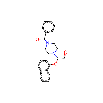 O=CC(Oc1cccc2ccccc12)N1CCN(C(=O)c2ccccc2)CC1